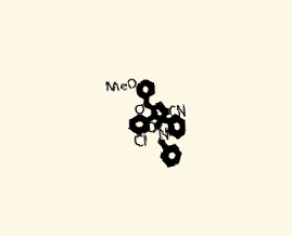 COc1cccc(C2Oc3ccc(Cl)cc3C3=C2C=C(C#N)C32C(=O)N(Cc3ccccc3)c3ccccc32)c1